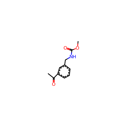 COC(=O)NCc1cccc(C(C)=O)c1